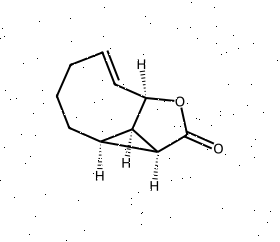 O=C1O[C@@H]2/C=C/CCC[C@@H]3[C@H]1[C@@H]32